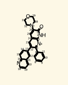 O=c1[nH]c2nc(-c3ccccc3)c(-c3ccc4ncccc4c3)cc2cc1N1CCOCC1